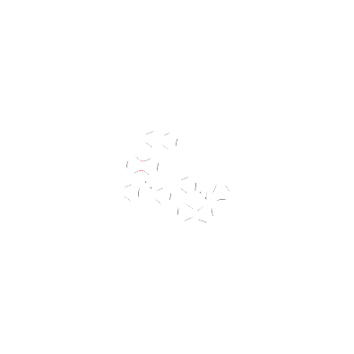 c1ccc(-c2ccccc2N(c2ccc(-c3ccccc3-c3ccccc3-n3c4ccccc4c4ccccc43)cc2)c2ccc(-c3cccc4ccccc34)cc2)cc1